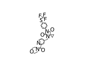 O=C(c1cc(CN2C(=O)N(c3ccc(SC(F)(F)F)cc3)C(=O)C23CC3)ccn1)N1CCOCC1